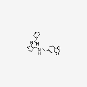 c1cn(-c2nc(NCCc3ccc4c(c3)OCO4)c3ccsc3n2)cn1